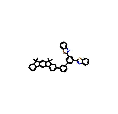 CC1(C)c2ccccc2-c2cc3c(cc21)C(C)(C)c1cc(-c2cccc(-c4cc(-c5nc6ccccc6s5)cc(C5Nc6ccccc6S5)c4)c2)ccc1-3